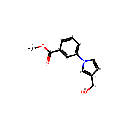 COC(=O)c1cccc(-n2ccc(CO)c2)c1